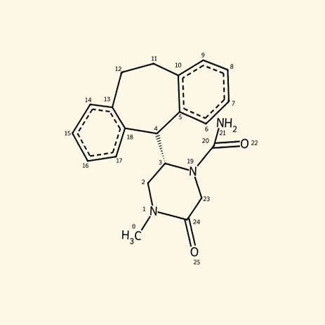 CN1C[C@H](C2c3ccccc3CCc3ccccc32)N(C(N)=O)CC1=O